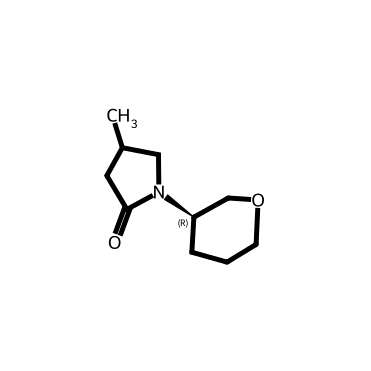 CC1CC(=O)N([C@@H]2CCCOC2)C1